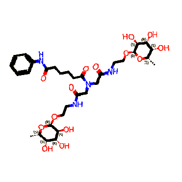 C[C@@H]1O[C@@H](OCCNC(=O)CN(CC(=O)NCCO[C@@H]2O[C@@H](C)[C@@H](O)[C@@H](O)[C@@H]2O)C(=O)CCCCC(=O)Nc2ccccc2)[C@@H](O)[C@H](O)[C@@H]1O